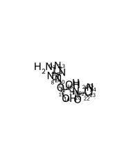 Nc1ncnc2c1ncn2CO[C@H](CO)C(O)CNC(=O)c1cccnc1